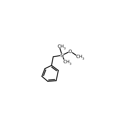 CO[Si](C)(C)Cc1ccccc1